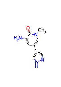 Cn1cc(-c2cn[nH]c2)cc(N)c1=O